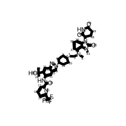 CN(CC[C@H]1CC[C@H](n2cc3cc(NC(=O)c4cccc(C(F)(F)F)n4)c(C(C)(C)O)cc3n2)CC1)c1cccc2c1n(C)c(=O)n2C1CCC(=O)NC1=O